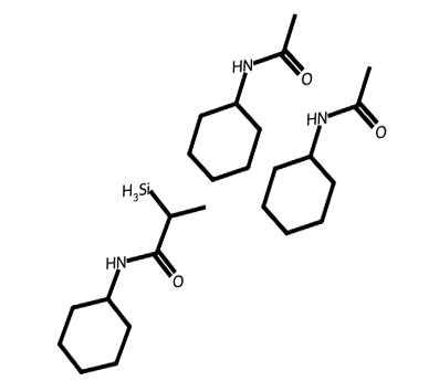 CC(=O)NC1CCCCC1.CC(=O)NC1CCCCC1.CC([SiH3])C(=O)NC1CCCCC1